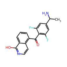 CC(N)c1cc(F)c(C(=O)c2cccc3c(O)nccc23)c(F)c1